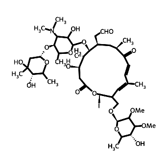 COC1C(OC)[C@H](O)C(C)O[C@H]1OCC1/C=C(C)/C=C/C(=O)[C@H](C)C[C@H](CC=O)[C@H](OC2OC(C)[C@@H](O[C@H]3CC(C)(O)[C@@H](O)C(C)O3)C(N(C)C)C2O)[C@@H](C)[C@H](O)CC(=O)O[C@@H]1I